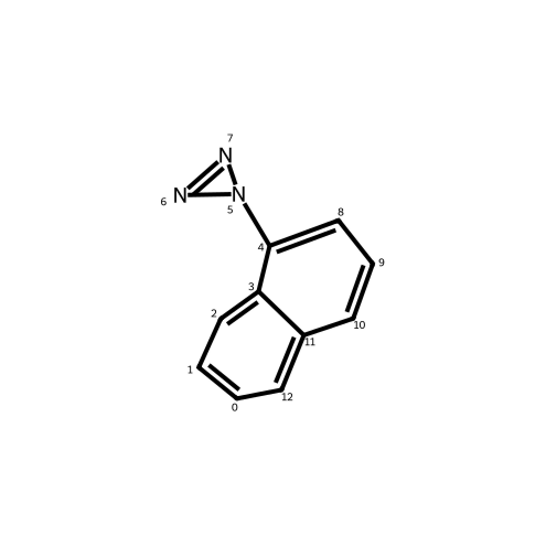 c1ccc2c(N3N=N3)cccc2c1